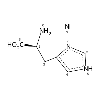 N[C@@H](Cc1c[nH]cn1)C(=O)O.[Ni]